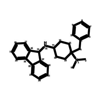 CN(C)C1(Cc2ccccc2)CCC(NC2c3ccccc3-c3ccccc32)CC1